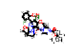 CC(C)(C)OC(=O)N1CCN2C(=O)c3c(N4CCCC45CCOC5)nc(-c4c(O)cccc4F)c(Cl)c3OC[C@H]2C1